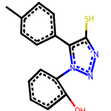 Cc1ccc(-c2c(S)nnn2-c2ccccc2O)cc1